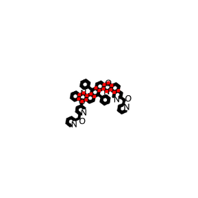 O=C(c1ccccn1)c1ccc(-c2cccc(-c3cc(-c4ccccc4N4c5ccccc5Oc5ccccc54)c(-c4cccc(-c5ccc(C(=O)c6ccccn6)nc5)c4)cc3-c3ccccc3N3c4ccccc4Oc4ccccc43)c2)cn1